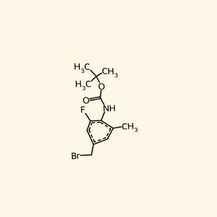 Cc1cc(CBr)cc(F)c1NC(=O)OC(C)(C)C